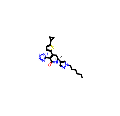 CCCCCCn1cc([C@]2(C)CC(c3ccc(C4CC4)s3)=C(c3nnn[nH]3)C(=O)N2)cn1